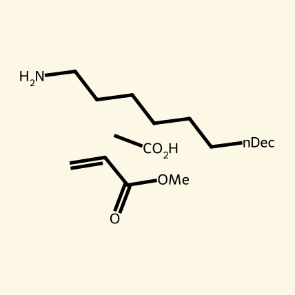 C=CC(=O)OC.CC(=O)O.CCCCCCCCCCCCCCCCN